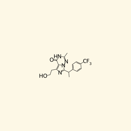 Cc1nn2c(C(C)c3ccc(C(F)(F)F)cc3)nc(CCO)c2c(=O)[nH]1